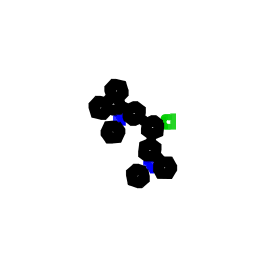 Clc1cc(-c2ccc3c(c2)c2ccccc2n3-c2ccccc2)cc(-c2ccc3c4c5ccccc5c5ccccc5c4n(-c4ccccc4)c3c2)c1